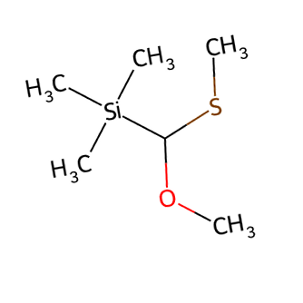 COC(SC)[Si](C)(C)C